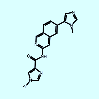 CC(C)n1cnc(C(=O)Nc2cc3cc(-c4cncn4C)ccc3cn2)c1